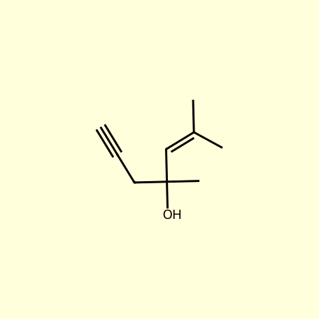 C#CCC(C)(O)C=C(C)C